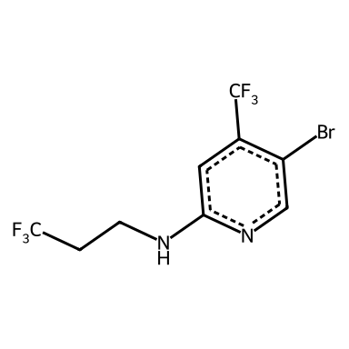 FC(F)(F)CCNc1cc(C(F)(F)F)c(Br)cn1